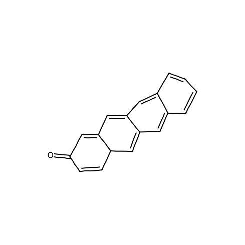 O=C1C=CC2C=c3cc4ccccc4cc3=CC2=C1